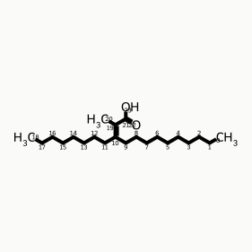 CCCCCCCCCCC(CCCCCCCC)=C(C)C(=O)O